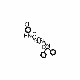 O=C(CN1CCN(Cc2nc(-c3ccccc3)c(-c3ccccc3)o2)CC1)Nc1ccc(Cl)cc1